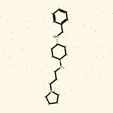 c1ccc(CN[C@H]2CC[C@H](OCCCN3CCCC3)CC2)cc1